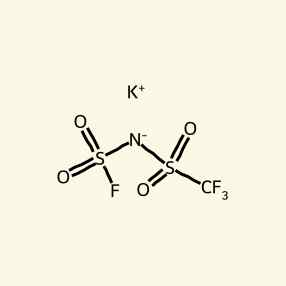 O=S(=O)(F)[N-]S(=O)(=O)C(F)(F)F.[K+]